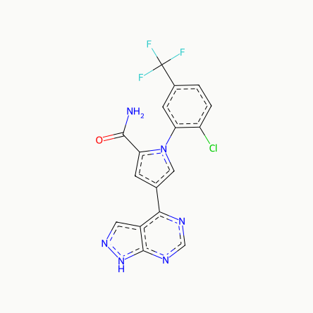 NC(=O)c1cc(-c2ncnc3[nH]ncc23)cn1-c1cc(C(F)(F)F)ccc1Cl